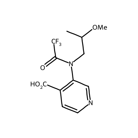 COC(C)CN(C(=O)C(F)(F)F)c1cnccc1C(=O)O